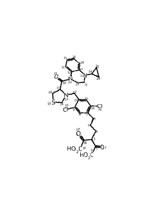 O=C(O)C(=O)C(CCCc1cc(Cl)c(CN2CSCC2C(=O)N2CCN(C3CC3)c3ccccc32)cc1Cl)C(=O)C(=O)O